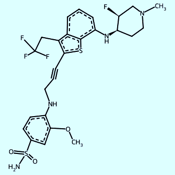 COc1cc(S(N)(=O)=O)ccc1NCC#Cc1sc2c(N[C@@H]3CCN(C)C[C@@H]3F)cccc2c1CC(F)(F)F